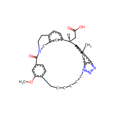 COc1cc2ccc1CCCCCCn1nnc3c(C)c(ccc31)[C@@H](CC(=O)O)c1ccc3c(c1)CN(CC3)C2=O